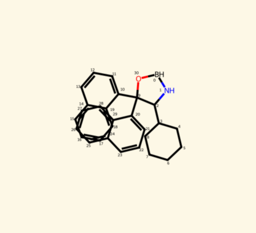 B1NC(C2CCCCC2)C(c2cccc3ccccc23)(c2cccc3ccccc23)O1